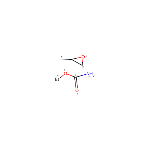 CC1CO1.CCOC(N)=O